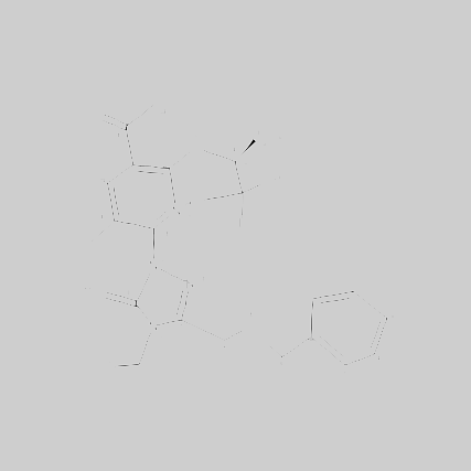 CCn1c(COCc2ccccc2)nn(-c2nc(O[C@@H](C)C(F)(F)F)c(C(=O)Cl)cc2F)c1=O